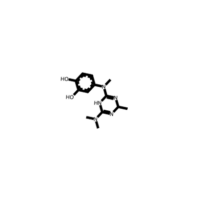 CC1N=C(N(C)C)NC(N(C)c2ccc(O)c(O)c2)=N1